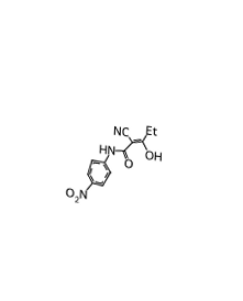 CC/C(O)=C(\C#N)C(=O)Nc1ccc([N+](=O)[O-])cc1